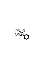 CC(=O)N1C(=O)CN(C2CCCCC2)C1=O